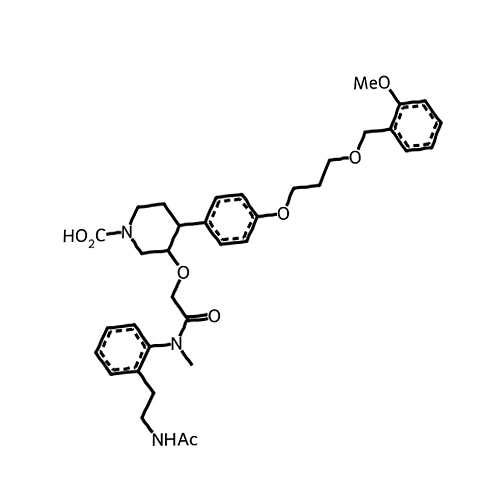 COc1ccccc1COCCCOc1ccc(C2CCN(C(=O)O)CC2OCC(=O)N(C)c2ccccc2CCNC(C)=O)cc1